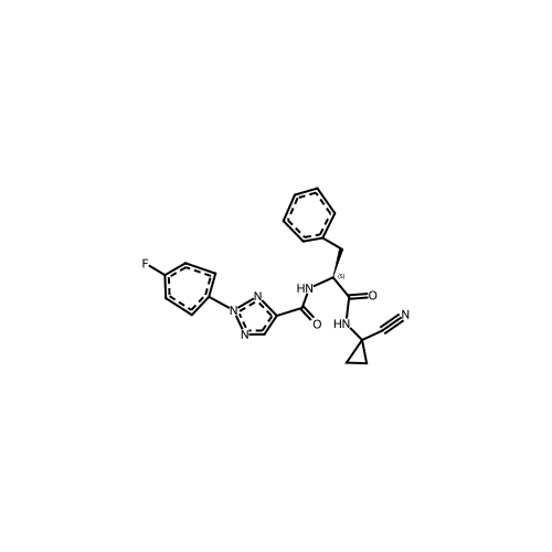 N#CC1(NC(=O)[C@H](Cc2ccccc2)NC(=O)c2cnn(-c3ccc(F)cc3)n2)CC1